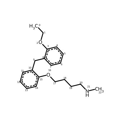 CCOc1ccccc1Cc1ccccc1OCCCCNC